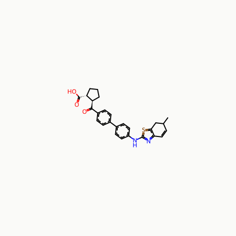 CC1C=Cc2nc(Nc3ccc(-c4ccc(C(=O)[C@@H]5CCC[C@H]5C(=O)O)cc4)cc3)sc2C1